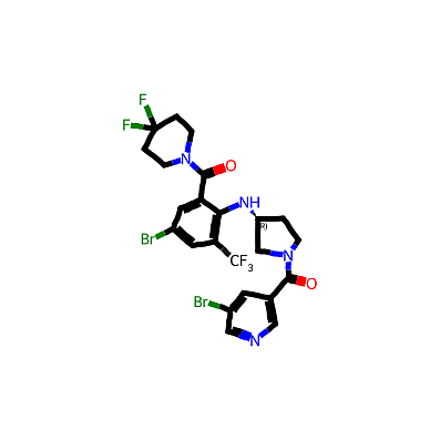 O=C(c1cncc(Br)c1)N1CC[C@@H](Nc2c(C(=O)N3CCC(F)(F)CC3)cc(Br)cc2C(F)(F)F)C1